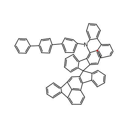 c1ccc(-c2ccc(-c3ccc(N(c4ccccc4-c4ccccc4)c4cccc5c4-c4ccccc4C54c5ccccc5-c5c4cc4c6c(cccc56)-c5ccccc5-4)cc3)cc2)cc1